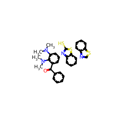 CN(C)c1cccc(C(=O)c2ccccc2)c1N(C)C.Sc1nc2ccccc2s1.c1ccc2scnc2c1